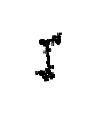 Cc1sc2c(c1C)C(c1ccc(Cl)cc1)=NC(CC(=O)NCCOCCOCCNC(=O)CSc1nc3ccccc3c3cc(CNC(=O)c4ccccc4OC(F)(F)F)nn13)c1nnc(C)n1-2